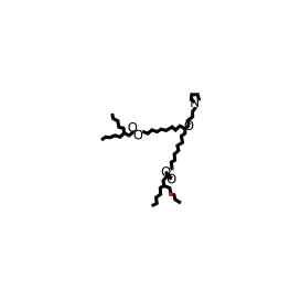 CCCCCC(CCCCC)CC(=O)OCCCCCCCCCC(CCCCCCCCCOC(=O)CC(CCCCC)CCCCC)OCCCCN1CCCC1